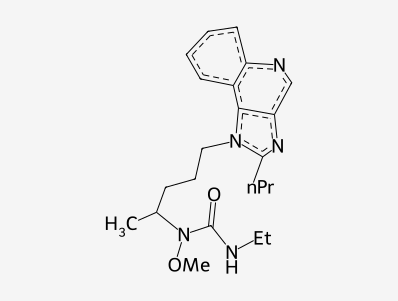 CCCc1nc2cnc3ccccc3c2n1CCCC(C)N(OC)C(=O)NCC